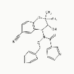 CC1(C)Oc2ccc(C#N)cc2C(N(OCc2ccccc2)C(=O)c2cccnc2)C1O